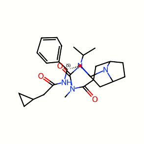 CC(C)N1C(=O)N(C)C(=O)C12CC1CCC(C2)N1CC[C@H](NC(=O)CC1CC1)c1ccccc1